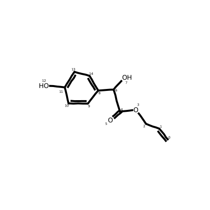 C=CCOC(=O)C(O)c1ccc(O)cc1